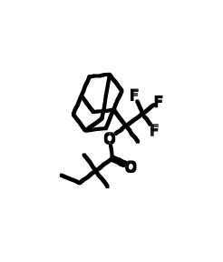 CCC(C)(C)C(=O)OC(C)(C(F)(F)F)C12CC3CC(CC(C3)C1)C2